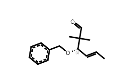 CC=C[C@H](OCc1ccccc1)C(C)(C)C=O